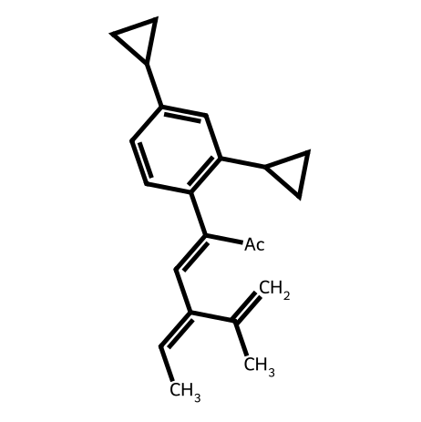 C=C(C)C(=C\C)/C=C(\C(C)=O)c1ccc(C2CC2)cc1C1CC1